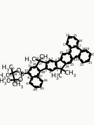 CC1(C)c2cc3c(cc2-c2cc4c5ccccc5c5ccccc5c4cc21)C(C)(C)c1cc(B2OC(C)(C)C(C)(C)O2)c2ccccc2c1-3